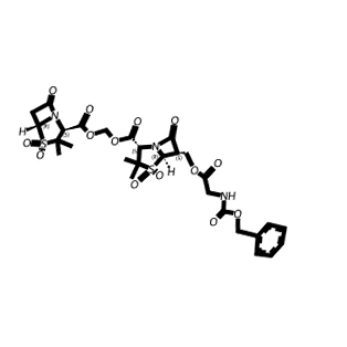 CC1(C)[C@H](C(=O)OCOC(=O)[C@@H]2N3C(=O)[C@H](COC(=O)CNC(=O)OCc4ccccc4)[C@H]3S(=O)(=O)C2(C)C)N2C(=O)C[C@H]2S1(=O)=O